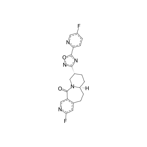 O=C1c2cnc(F)cc2CC[C@@H]2CC[C@@H](c3noc(-c4ccc(F)cn4)n3)CN12